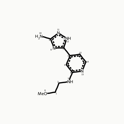 COCCNc1cc(-c2nc(N)n[nH]2)ccn1